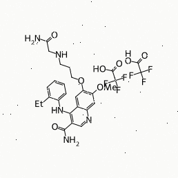 CCc1ccccc1Nc1c(C(N)=O)cnc2cc(OC)c(OCCCNCC(N)=O)cc12.O=C(O)C(F)(F)F.O=C(O)C(F)(F)F